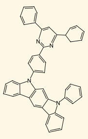 C1=CCC(c2cc(-c3ccccc3)nc(-c3ccc(-n4c5ccccc5c5cc6c7ccccc7n(-c7ccccc7)c6cc54)cc3)n2)C=C1